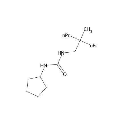 CCCC(C)(CCC)CNC(=O)NC1CCCC1